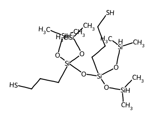 C[SiH](C)O[Si](CCCS)(O[SiH](C)C)O[Si](CCCS)(O[SiH](C)C)O[SiH](C)C